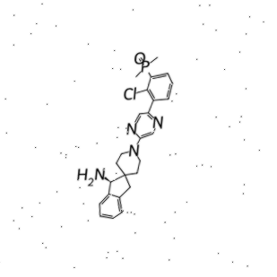 CP(C)(=O)c1cccc(-c2cnc(N3CCC4(CC3)Cc3ccccc3[C@H]4N)cn2)c1Cl